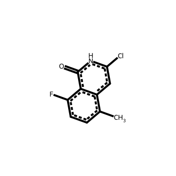 Cc1ccc(F)c2c(=O)[nH]c(Cl)cc12